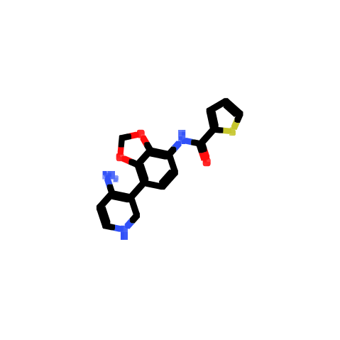 NC1=C(c2ccc(NC(=O)c3cccs3)c3c2OCO3)CNC=C1